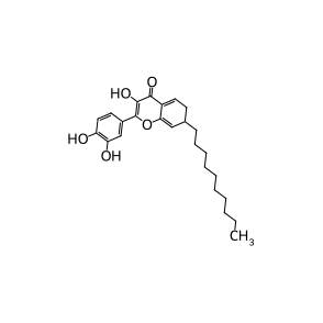 CCCCCCCCCCC1C=c2oc(-c3ccc(O)c(O)c3)c(O)c(=O)c2=CC1